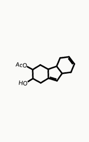 CC(=O)OC1CC2C(=CC3CC=CCC32)CC1O